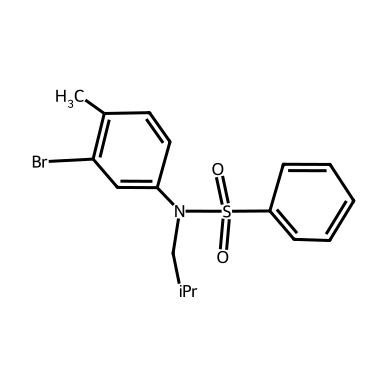 Cc1ccc(N(CC(C)C)S(=O)(=O)c2ccccc2)cc1Br